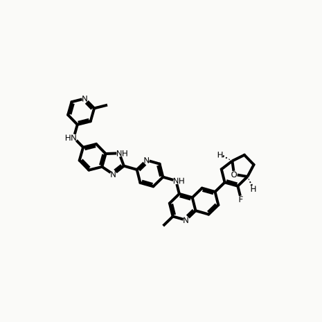 Cc1cc(Nc2ccc3nc(-c4ccc(Nc5cc(C)nc6ccc(C7=C(F)[C@@H]8CC[C@H](C7)O8)cc56)cn4)[nH]c3c2)ccn1